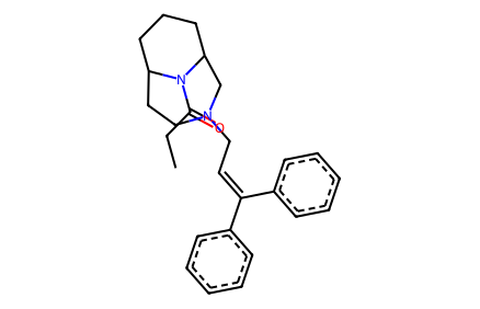 CCC(=O)N1C2CCCC1CN(CC=C(c1ccccc1)c1ccccc1)CC2